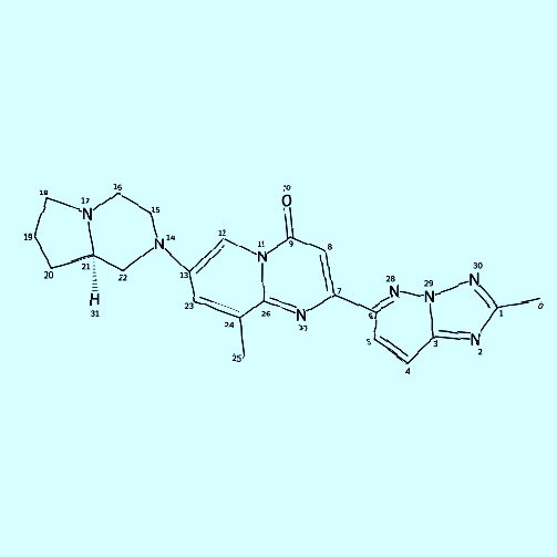 Cc1nc2ccc(-c3cc(=O)n4cc(N5CCN6CCC[C@@H]6C5)cc(C)c4n3)nn2n1